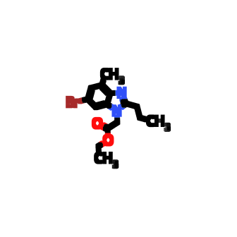 CCCc1nc2c(C)cc(Br)cc2n1CC(=O)OCC